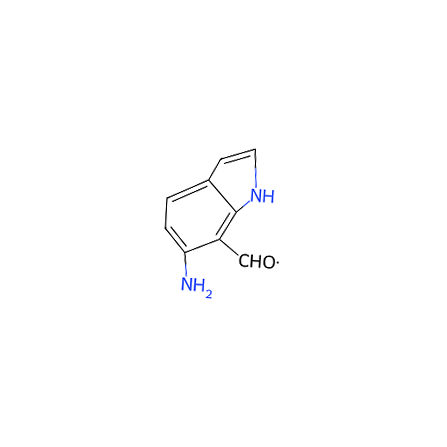 Nc1ccc2cc[nH]c2c1[C]=O